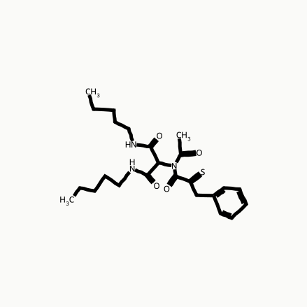 CCCCCNC(=O)C(C(=O)NCCCCC)N(C(C)=O)C(=O)C(=S)Cc1ccccc1